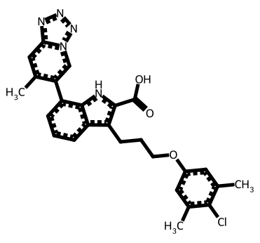 Cc1cc2nnnn2cc1-c1cccc2c(CCCOc3cc(C)c(Cl)c(C)c3)c(C(=O)O)[nH]c12